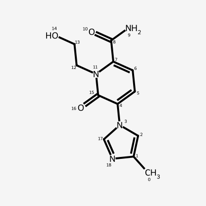 Cc1cn(-c2ccc(C(N)=O)n(CCO)c2=O)cn1